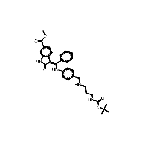 COC(=O)c1ccc2c(c1)NC(=O)/C2=C(\Nc1ccc(CNCCCNC(=O)OC(C)(C)C)cc1)c1ccccc1